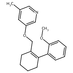 COc1ccccc1C1=C(COc2cncc(C)c2)CCCC1